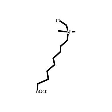 CCCCCCCCCCCCCCCC[N+](C)(C)CCl